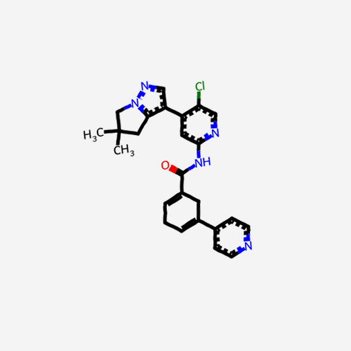 CC1(C)Cc2c(-c3cc(NC(=O)C4=CCC=C(c5ccncc5)C4)ncc3Cl)cnn2C1